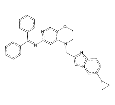 c1ccc(C(=Nc2cc3c(cn2)OCCN3Cc2cn3cc(C4CC4)ccc3n2)c2ccccc2)cc1